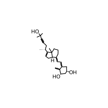 C=C1C(=CC=C2CCCC3(C)C([C@H](C)CC#CC(C)(C)O)=CC[C@H]23)C[C@@H](O)C[C@@H]1O